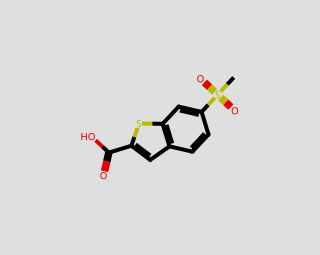 CS(=O)(=O)c1ccc2cc(C(=O)O)sc2c1